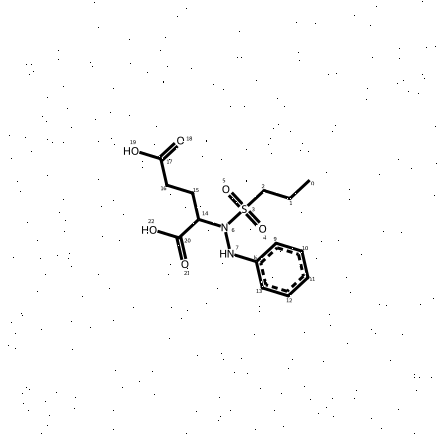 CCCS(=O)(=O)N(Nc1ccccc1)C(CCC(=O)O)C(=O)O